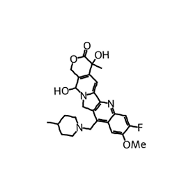 COc1cc2c(CN3CCC(C)CC3)c3c(nc2cc1F)C1=CC2=C(COC(=O)C2(C)O)C(O)N1C3